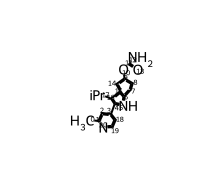 Cc1cc(-c2[nH]c3ccc(OC(N)=O)cc3c2C(C)C)ccn1